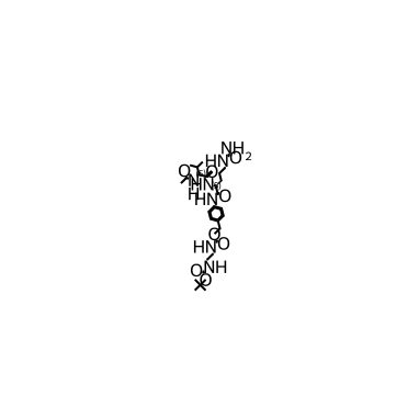 CC(=O)N[C@H](C(=O)N[C@@H](CCCNC(N)=O)C(=O)Nc1ccc(COC(=O)NCCNC(=O)OC(C)(C)C)cc1)C(C)C